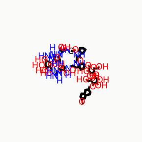 COc1ccc2cc(COC3C(CO)OC(OC4C(CO)OC(Oc5ccc(CC6NC(=O)C(C(C)c7ccccc7)NC(=O)CNC(=O)C(CO)NC(=O)C(C(O)C7CNC(=N)N7C7OC(CO)C(O)C(O)C7O)NC(=O)C(C(O)C7CNC(=N)N7)NC6=O)cc5)C(O)C4O)C(O)C3O)ccc2c1